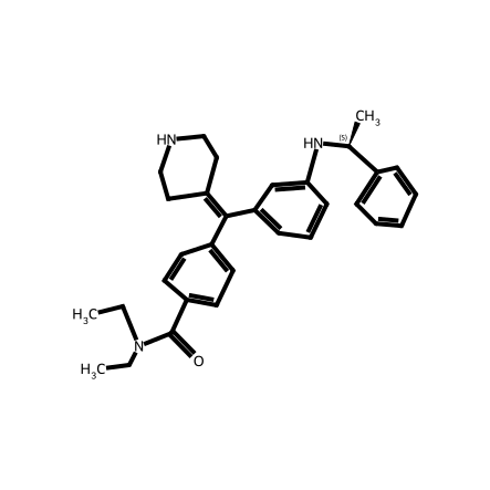 CCN(CC)C(=O)c1ccc(C(=C2CCNCC2)c2cccc(N[C@@H](C)c3ccccc3)c2)cc1